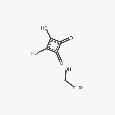 CCCCCCCO.O=c1c(O)c(O)c1=O